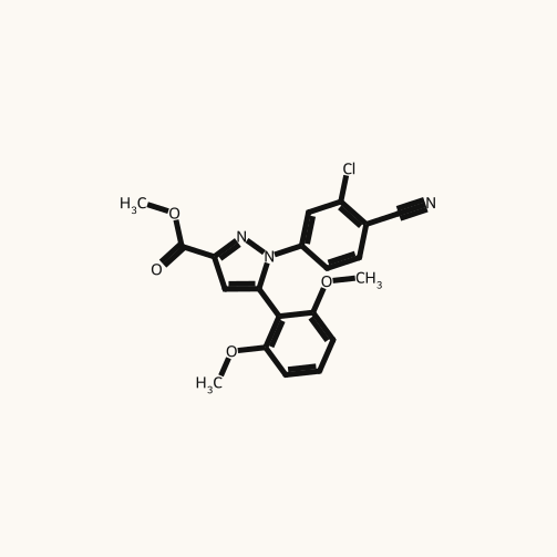 COC(=O)c1cc(-c2c(OC)cccc2OC)n(-c2ccc(C#N)c(Cl)c2)n1